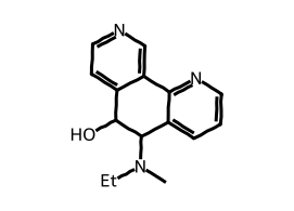 CCN(C)C1c2cccnc2-c2cnccc2C1O